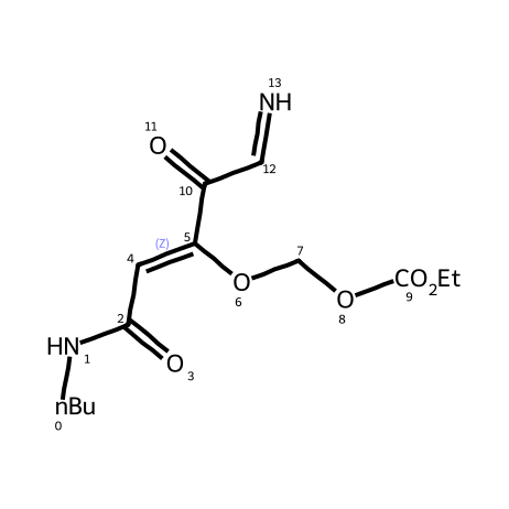 CCCCNC(=O)/C=C(\OCOC(=O)OCC)C(=O)C=N